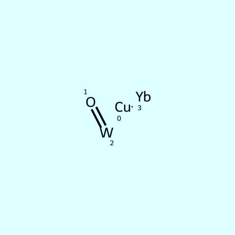 [Cu].[O]=[W].[Yb]